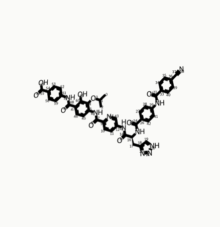 CC(C)Oc1c(NC(=O)c2ccc(NC(=O)[C@H](Cc3c[nH]nn3)NC(=O)c3ccc(NC(=O)c4ccc(C#N)cc4)cc3)cn2)ccc(C(=O)Nc2ccc(C(=O)O)cc2)c1O